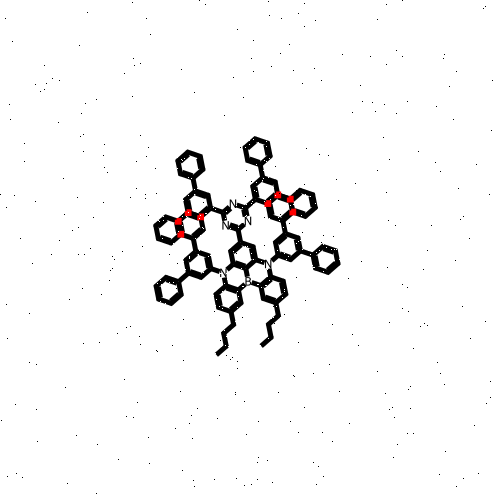 CCCCc1ccc2c(c1)B1c3cc(CCCC)ccc3N(c3cc(-c4ccccc4)cc(-c4ccccc4)c3)c3cc(-c4nc(-c5cc(-c6ccccc6)cc(-c6ccccc6)c5)nc(-c5cc(-c6ccccc6)cc(-c6ccccc6)c5)n4)cc(c31)N2c1cc(-c2ccccc2)cc(-c2ccccc2)c1